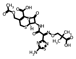 CC(=O)OCC1=C(C(=O)O)N2C(=O)[C@@H](NC(=O)C(=NOCC(C)(C)C(=O)O)c3nsc(N)n3)[C@H]2SC1